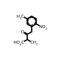 Cc1ccc([N+](=O)[O-])c(CC(=O)C(C)C(=O)O)c1